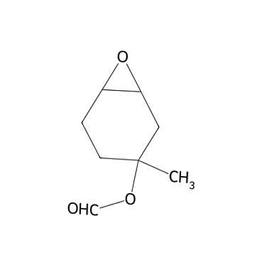 CC1(OC=O)CCC2OC2C1